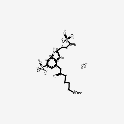 CCCCCCCCCCCCCCC(=S)Cc1cc(S(=O)(=O)[O-])cc2[nH]c(CCC(C)S(=O)(=O)[O-])nc12.[K+].[K+]